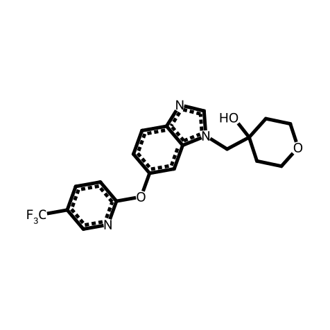 OC1(Cn2cnc3ccc(Oc4ccc(C(F)(F)F)cn4)cc32)CCOCC1